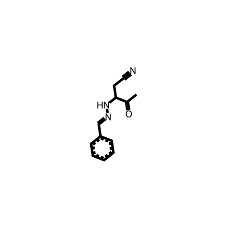 CC(=O)C(CC#N)NN=Cc1ccccc1